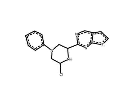 ClC1CN(c2ccccc2)CC(c2ncc3ccsc3n2)N1